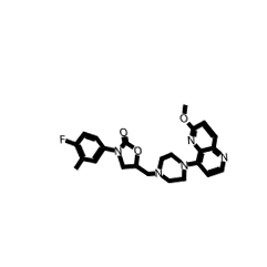 COc1ccc2nccc(N3CCN(CC4CN(c5ccc(F)c(C)c5)C(=O)O4)CC3)c2n1